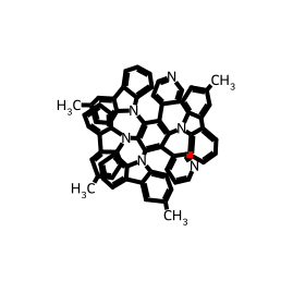 Cc1ccc2c(c1)c1ccccc1n2-c1c(-c2ccncc2)c(-n2c3ccccc3c3cc(C)ccc32)c(-n2c3ccccc3c3cc(C)ccc32)c(-n2c3ccccc3c3cc(C)ccc32)c1-c1cccnc1